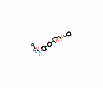 O=C(CC1CCC(c2ccc(-c3ccc(Nc4nnc(C5CCC5)o4)cc3)cc2)CO1)OCc1ccccc1